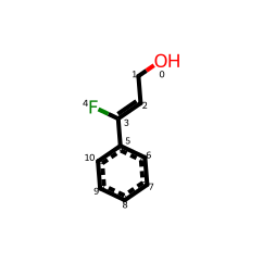 OCC=C(F)c1ccccc1